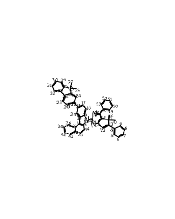 CC1(C)C(c2ccccc2)=Cc2nc(-n3c4ccc(-c5ccc6c(c5)C(C)(C)c5ccccc5-6)cc4c4c5ccccc5ccc43)nc(-c3ccccc3)c21